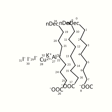 CCCCCCCCCCCCCCCCCC(=O)[O-].CCCCCCCCCCCCCCCCCC(=O)[O-].CCCCCCCCCCCCCCCCCC(=O)[O-].[Al+3].[Cu+2].[I-].[I-].[I-].[K+]